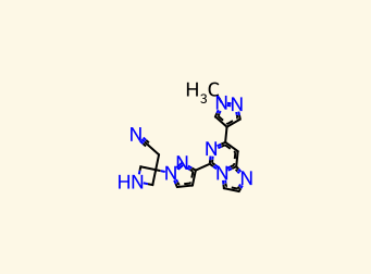 Cn1cc(-c2cc3nccn3c(-c3ccn(C4(CC#N)CNC4)n3)n2)cn1